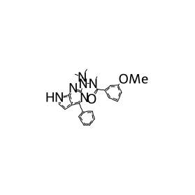 COc1cccc(C(=O)N(C)N(c2nc(-c3ccccc3)c3cc[nH]c3n2)N(C)C)c1